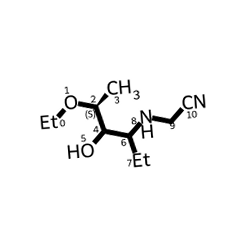 CCO[C@@H](C)C(O)C(CC)NCC#N